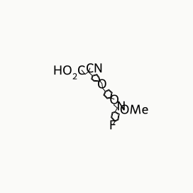 CON=C(COc1ccc(COc2ccc(C(C#N)CC(=O)O)cc2)cc1)c1ccc(F)cc1